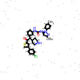 Cc1ccc(-n2nc(C(C)(C)C)cc2NC(=O)Nc2cccc(C(C(=O)c3cc(-c4ccc(Cl)cc4)cs3)C3CCNCC3)c2)cc1